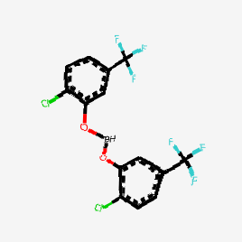 FC(F)(F)c1ccc(Cl)c(OBOc2cc(C(F)(F)F)ccc2Cl)c1